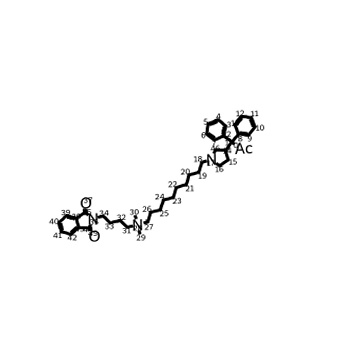 CC(=O)C(c1ccccc1)(c1ccccc1)C1CCN(CCCCCCCCCC[N+](C)(C)CCCCN2C(=O)c3ccccc3C2=O)C1